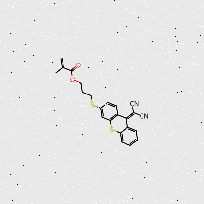 C=C(C)C(=O)OCCCSc1ccc2c(c1)Sc1ccccc1C2=C(C#N)C#N